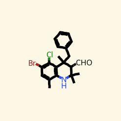 Cc1cc(Br)c(Cl)c2c1NC(C)(C)C(C=O)C2(C)Cc1ccccc1